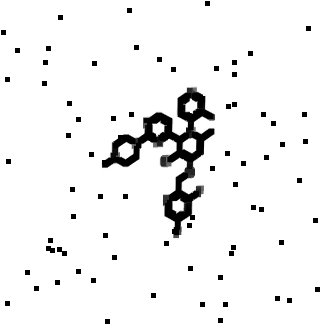 CC1=CC(OCc2ncc(F)cc2F)=C(Cl)C(c2ccnc(N3CCN(C)CC3)n2)N1c1ccncc1C